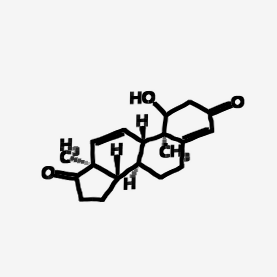 C[C@]12C=C[C@H]3[C@@H](CCC4=CC(=O)CC(O)[C@@]43C)[C@@H]1CCC2=O